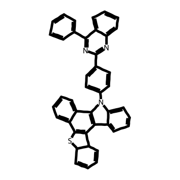 C1=CC2Sc3c(c4c5ccccc5n(-c5ccc(-c6nc(-c7ccccc7)c7ccccc7n6)cc5)c4c4ccccc34)C2C=C1